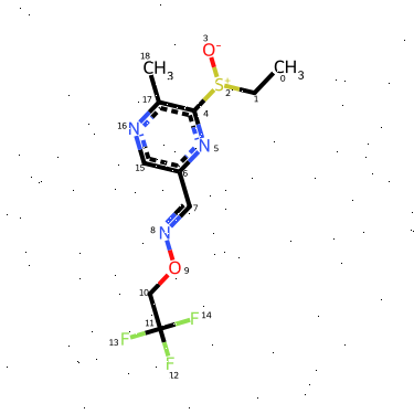 CC[S+]([O-])c1nc(/C=N/OCC(F)(F)F)cnc1C